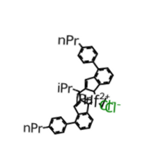 CCCc1ccc(-c2cccc3c2C=C(CC(C)C)[CH]3[Hf+2]2([CH]3C(CC(C)C)=Cc4c(-c5ccc(CCC)cc5)cccc43)[CH2][CH2]2)cc1.[Cl-].[Cl-]